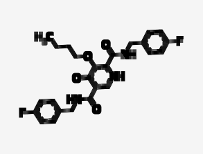 CCCCOc1c(C(=O)NCc2ccc(F)cc2)[nH]cc(C(=O)NCc2ccc(F)cc2)c1=O